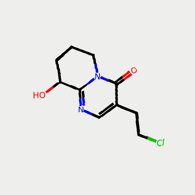 O=c1c(CCCl)cnc2n1CCCC2O